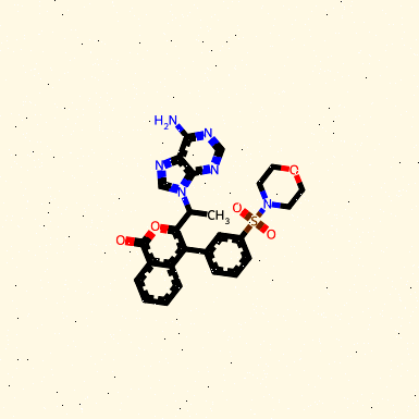 CC(c1oc(=O)c2ccccc2c1-c1cccc(S(=O)(=O)N2CCOCC2)c1)n1cnc2c(N)ncnc21